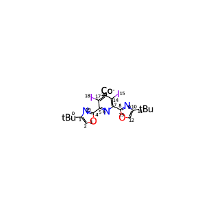 CC(C)(C)c1coc(-c2nc(-c3nc(C(C)(C)C)co3)c(I)cc2I)n1.[Co]